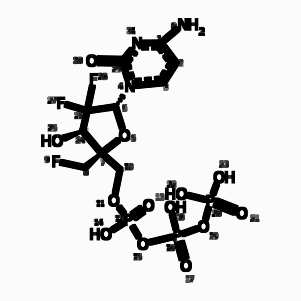 Nc1ccn([C@@H]2O[C@](CF)(COP(=O)(O)OP(=O)(O)OP(=O)(O)O)[C@@H](O)C2(F)F)c(=O)n1